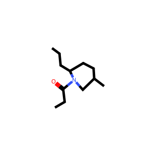 CCCC1CCC(C)CN1C(=O)CC